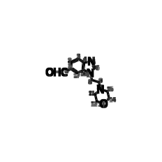 O=Cc1ccc2ncn(CCN3CCOCC3)c2c1